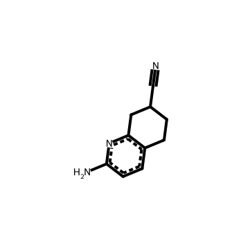 N#CC1CCc2ccc(N)nc2C1